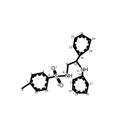 Cc1ccc(S(=O)(=O)NCC(Nc2ccccc2)c2ccccc2)cc1